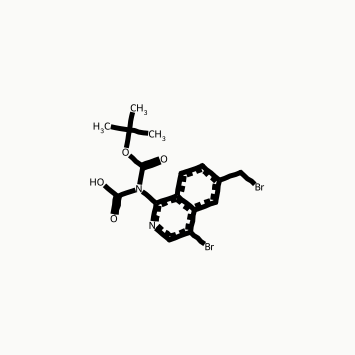 CC(C)(C)OC(=O)N(C(=O)O)c1ncc(Br)c2cc(CBr)ccc12